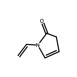 C=CN1C=CCC1=O